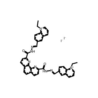 CC[n+]1cccc2cc(C=NNC(=O)c3ccc4ccc5ccc(C(=O)NN=Cc6ccc7c(ccc[n+]7CC)c6)nc5c4n3)ccc21.[I-].[I-]